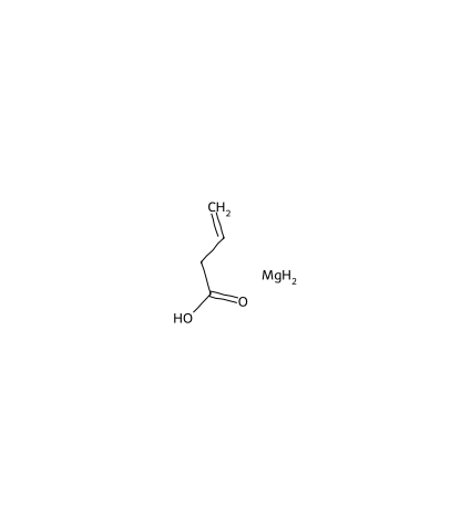 C=CCC(=O)O.[MgH2]